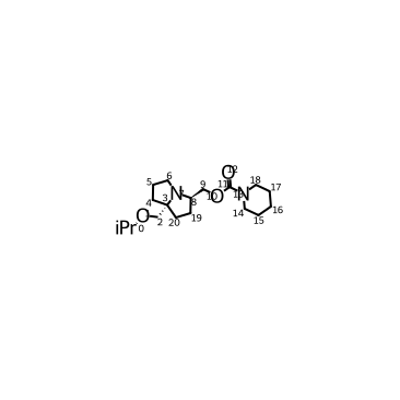 CC(C)OC[C@]12CCCN1[C@@H](COC(=O)N1CCCCC1)CC2